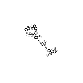 Cc1c(OCCCN2CCN(CCCOc3ccc4c(C5CCC(=O)NC5=O)nn(C)c4c3)C(C(F)(F)F)C2)cccc1-c1ccc(N2CCc3cccc(C(=O)Nc4nc5ccccc5s4)c3C2)nc1C(=O)OC(C)(C)C